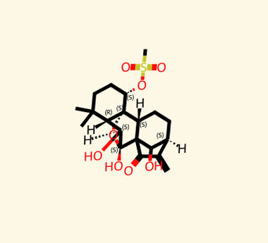 C=C1C(=O)C23C(O)[C@H]1CC[C@H]2[C@@]12CO[C@]3(O)[C@@H](O)[C@@H]1C(C)(C)CC[C@@H]2OS(C)(=O)=O